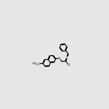 CCC(=C=Cc1ccccc1)COc1ccc2cc(C(=O)O)ccc2c1